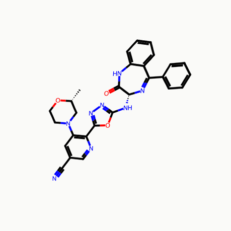 C[C@@H]1CN(c2cc(C#N)cnc2-c2nnc(N[C@H]3N=C(c4ccccc4)c4ccccc4NC3=O)o2)CCO1